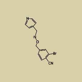 N#Cc1ccc(CO[N]Cc2ccncc2)cc1Br